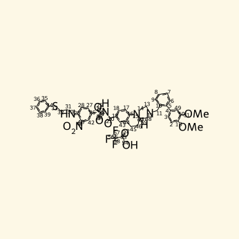 COc1ccc(-c2ccccc2CN2CCN3c4ccc(C(=O)NS(=O)(=O)c5ccc(NCCSc6ccccc6)c([N+](=O)[O-])c5)cc4CC[C@H]3C2)cc1OC.O=C(O)C(F)(F)F